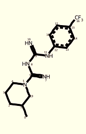 CC1CCCN(C(=N)NC(=N)Nc2ccc(C(F)(F)F)cc2)C1